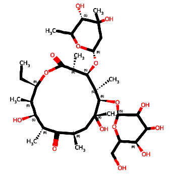 CC[C@H]1OC(=O)[C@H](C)[C@@H](O[C@H]2CC(C)(O)[C@@H](O)C(C)O2)[C@H](C)[C@@H](O[C@@H]2OC(CO)[C@H](O)C(O)C2O)[C@](C)(O)C[C@@H](C)C(=O)[C@H](C)[C@@H](O)[C@H]1C